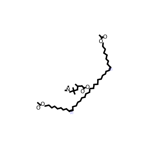 CC(=O)OCCCCCCCC/C=C\CCCCCCCCC(CCCCCCCC/C=C\CCCCCCCCOC(C)=O)OC(=O)CC(C)CC(C)(C)CN(C)C